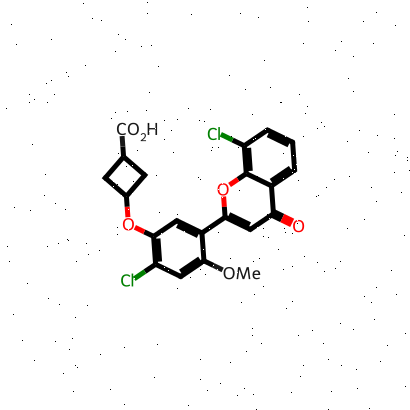 COc1cc(Cl)c(OC2CC(C(=O)O)C2)cc1-c1cc(=O)c2cccc(Cl)c2o1